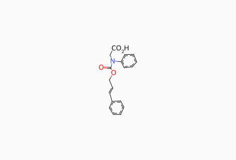 O=C(O)CN(C(=O)OCC=Cc1ccccc1)c1ccccc1